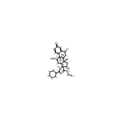 C[C@@H]1C[C@H]2[C@@H]3C[C@H](F)C4=CC(=O)C=C[C@]4(C)[C@@]3(F)[C@@H](O)C[C@]2(C)[C@@]1(OC(=O)C1CCCCC1)C(=O)SCF